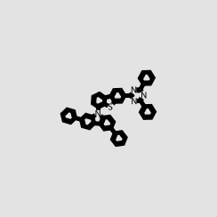 c1ccc(-c2ccc3c(c2)c2ccc(-c4ccccc4)cc2n3-c2cccc3c2sc2cc(-c4nc(-c5ccccc5)nc(-c5ccccc5)n4)ccc23)cc1